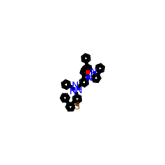 c1ccc(-c2cccc(-n3c4ccccc4c4cccc(-n5c6ccccc6c6cc(-c7nc(-c8ccccc8)nc(-c8ccc9sc%10cccc(-c%11ccccc%11)c%10c9c8)n7)ccc65)c43)c2)cc1